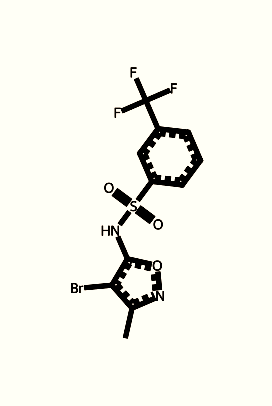 Cc1noc(NS(=O)(=O)c2cccc(C(F)(F)F)c2)c1Br